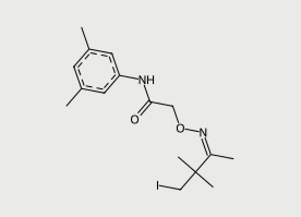 CC(=NOCC(=O)Nc1cc(C)cc(C)c1)C(C)(C)CI